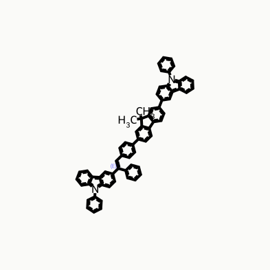 CC1(C)c2cc(-c3ccc(/C=C(\c4ccccc4)c4ccc5c(c4)c4ccccc4n5-c4ccccc4)cc3)ccc2-c2ccc(-c3ccc4c(c3)c3ccccc3n4-c3ccccc3)cc21